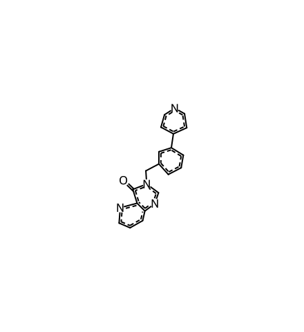 O=c1c2ncccc2ncn1Cc1cccc(-c2ccncc2)c1